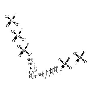 [NH4+].[NH4+].[NH4+].[NH4+].[NH4+].[NH4+].[NH4+].[NH4+].[NH4+].[NH4+].[O]=[Sb]([O-])([O-])[F].[O]=[Sb]([O-])([O-])[F].[O]=[Sb]([O-])([O-])[F].[O]=[Sb]([O-])([O-])[F].[O]=[Sb]([O-])([O-])[F]